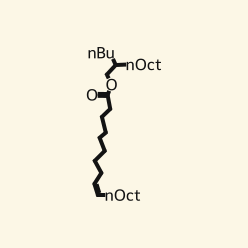 CCCCCCCC/C=C\CCCCCCCC(=O)OCC(CCCC)CCCCCCCC